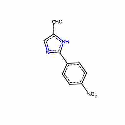 O=Cc1cnc(-c2ccc([N+](=O)[O-])cc2)[nH]1